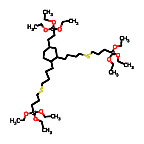 CCO[Si](CCCSCCCCC1CCC(CC[Si](OCC)(OCC)OCC)CC1CCCCSCCC[Si](OCC)(OCC)OCC)(OCC)OCC